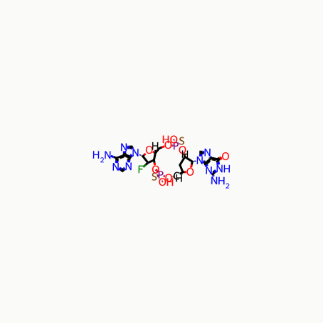 Nc1nc2c(ncn2[C@@H]2O[C@@H]3CO[P@@](O)(=S)OC4C(F)[C@H](n5cnc6c(N)ncnc65)O[C@@H]4CO[P@@](O)(=S)O[C@@H]2C3)c(=O)[nH]1